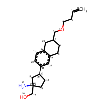 C=CCCOCC1CCc2cc([C@H]3CC[C@](N)(CO)C3)ccc2C1